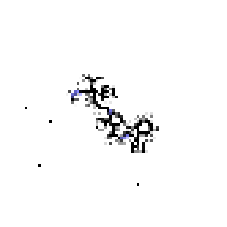 C=C(C)C1=C(/C=C\C)SC(C/C=C2/CCC(C(C)/C=C3\Sc4ccccc4N3CC)C2=O)N1CC